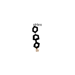 CCCCCC[C@H]1CC[C@H](C2C=CC(c3ccc(Br)cc3)=CC2)CC1